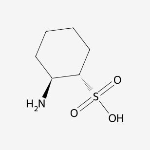 N[C@H]1CCCC[C@@H]1S(=O)(=O)O